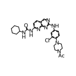 CC(=O)N1CCN(c2ccc(Nc3ncc4ccc(NC(=O)NC5CCCCC5)nc4n3)cc2Cl)CC1